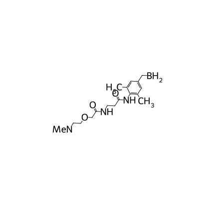 BCc1cc(C)c(NC(=O)CCNC(=O)COCCNC)c(C)c1